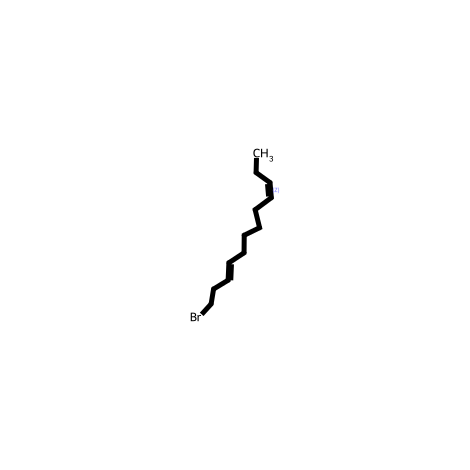 CC/C=C\CCCCC=CCCBr